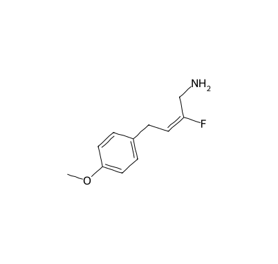 COc1ccc(C/C=C(/F)CN)cc1